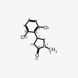 CN1CC(c2c(Cl)cccc2Cl)CC1=O